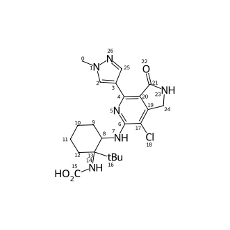 Cn1cc(-c2nc(NC3CCCCC3(NC(=O)O)C(C)(C)C)c(Cl)c3c2C(=O)NC3)cn1